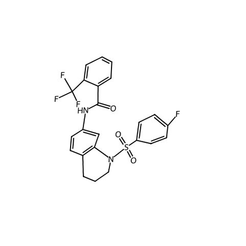 O=C(Nc1ccc2c(c1)N(S(=O)(=O)c1ccc(F)cc1)CCC2)c1ccccc1C(F)(F)F